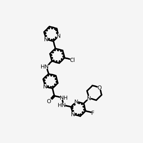 O=C(NNc1ncc(F)c(N2CCOCC2)n1)c1ccc(Nc2cc(Cl)cc(-c3ncccn3)c2)cn1